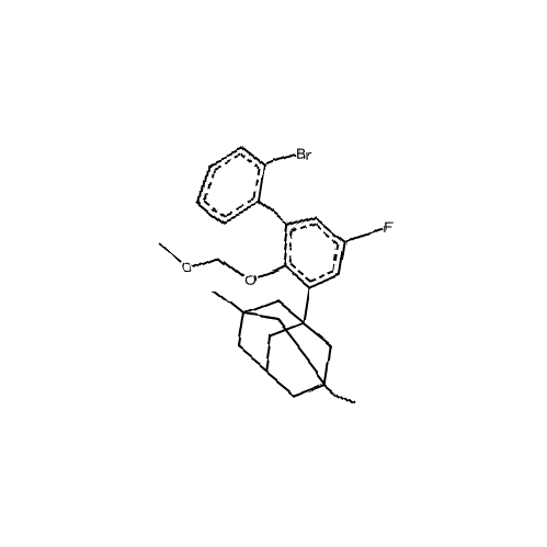 COCOc1c(-c2ccccc2Br)cc(F)cc1C12CC3CC(C)(CC(C)(C3)C1)C2